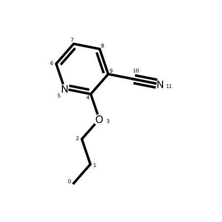 CCCOc1ncccc1C#N